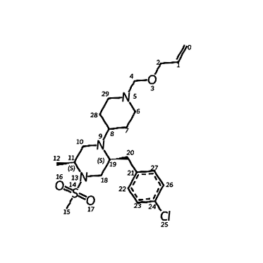 C=CCOCN1CCC(N2C[C@H](C)N(S(C)(=O)=O)C[C@@H]2Cc2ccc(Cl)cc2)CC1